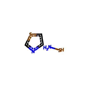 NS.c1cscn1